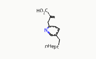 C=C(Cc1ccc(CCCCCCCC)cn1)C(=O)O